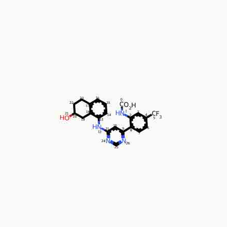 O=C(O)Nc1cc(C(F)(F)F)ccc1-c1cc(Nc2cccc3c2CC(O)CC3)ncn1